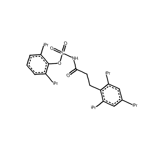 CC(C)c1cc(C(C)C)c(CCC(=O)NS(=O)(=O)Oc2c(C(C)C)cccc2C(C)C)c(C(C)C)c1